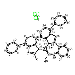 CC1=Cc2c(-c3ccccc3)cccc2[CH]1[Zr+2]([CH]1C(c2ccccc2)=Cc2c(-c3ccccc3)cccc21)=[Si](C)C.[Cl-].[Cl-]